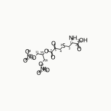 N[C@@H](CSCC(=O)C(=O)OC(CO[N+](=O)[O-])CO[N+](=O)[O-])C(=O)O